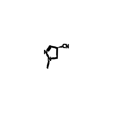 CN1C[C@@H](C#N)C=N1